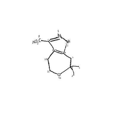 CC1(C)Cc2[nH]nc(C(=O)O)c2CCO1